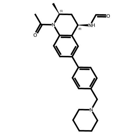 CC(=O)N1c2ccc(-c3ccc(CN4CCCCC4)cc3)cc2[C@H](NC=O)C[C@@H]1C